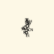 CCc1cnc2c(c1)c(C#N)c(-c1ccc(S(=O)(=O)NC3(C)CC3)cn1)n2C1=CC=C1